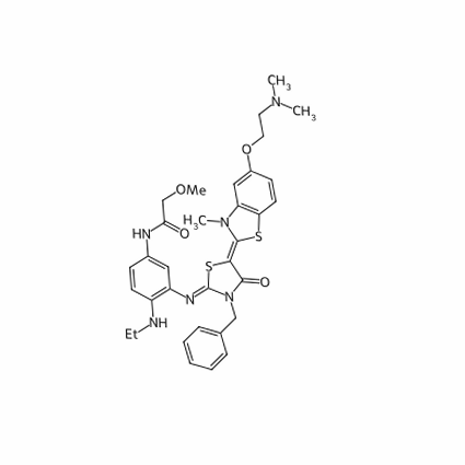 CCNc1ccc(NC(=O)COC)cc1N=C1SC(=C2Sc3ccc(OCCN(C)C)cc3N2C)C(=O)N1Cc1ccccc1